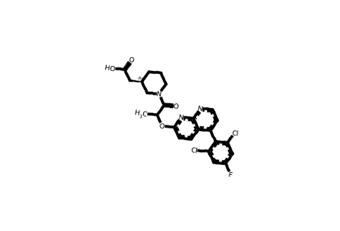 CC(Oc1ccc2c(-c3c(Cl)cc(F)cc3Cl)ccnc2n1)C(=O)N1CCC[C@H](CC(=O)O)C1